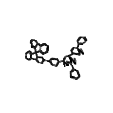 c1ccc(-c2ccc(-c3cc(-c4ccc(-c5ccc6c(c5)C5(c7ccccc7-c7ccccc75)c5ccccc5-6)cc4)nc(-c4ccccc4)n3)cn2)cc1